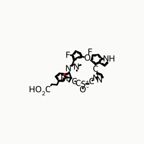 CC/C=C1/N=C(\N(C)C)c2cc(ccc2F)Oc2c(F)cc3[nH]ccc3c2Cc2ccnn2CC[S+]([O-])CCC1(C)c1cccc(CCC(=O)O)c1